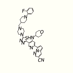 N#Cc1cnn2c(-c3cc(NC4CCOCC4)c(-c4nnc(N5CCN(CC6CCN(c7ccccc7F)CC6)CC5)s4)cn3)ccc2c1